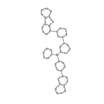 c1ccc(N(c2ccc(-c3ccc4ccccc4c3)cc2)c2cccc(-c3cccc(-c4cccc5c4sc4ccccc45)c3)c2)cc1